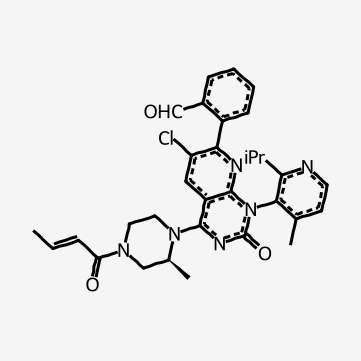 C/C=C/C(=O)N1CCN(c2nc(=O)n(-c3c(C)ccnc3C(C)C)c3nc(-c4ccccc4C=O)c(Cl)cc23)[C@@H](C)C1